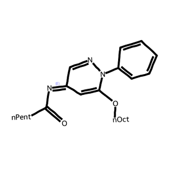 CCCCCCCCOc1c/c(=N\C(=O)CCCCC)cnn1-c1ccccc1